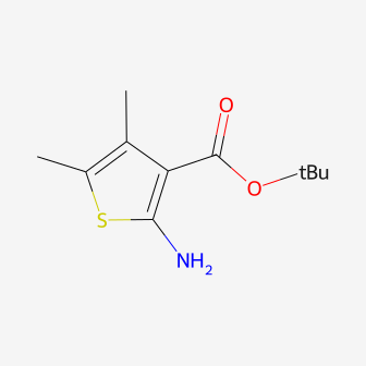 Cc1sc(N)c(C(=O)OC(C)(C)C)c1C